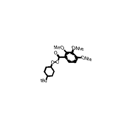 COc1ccc(C(=O)OO[C]2CCC(C(C)(C)C)CC2)c(OC)c1OC